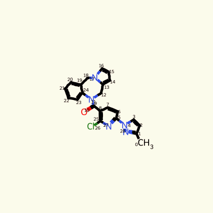 Cc1ccn(-c2ccc(C(=O)N3Cc4cccn4Cc4ccccc43)c(Cl)n2)n1